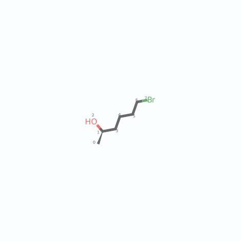 C[C@@H](O)CCCCBr